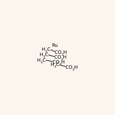 CC(=O)O.CC(=O)O.CC(=O)O.CC(=O)O.[Ru]